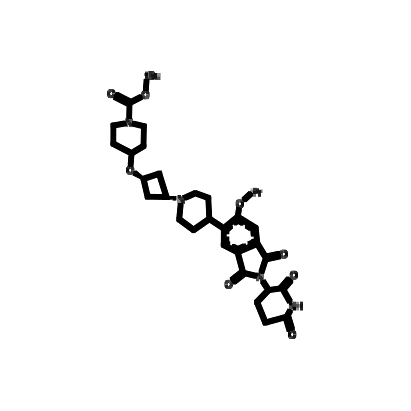 CC(C)Oc1cc2c(cc1C1CCN([C@H]3C[C@H](OC4CCN(C(=O)OC(C)(C)C)CC4)C3)CC1)C(=O)N(C1CCC(=O)NC1=O)C2=O